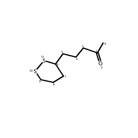 CC(=O)CCCC1CCCSS1